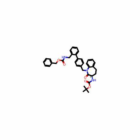 CC(C)(C)OC(=O)N[C@@H]1CCc2ccccc2N(Cc2ccc(-c3ccccc3CNC(=O)OCc3ccccc3)cc2)C1=O